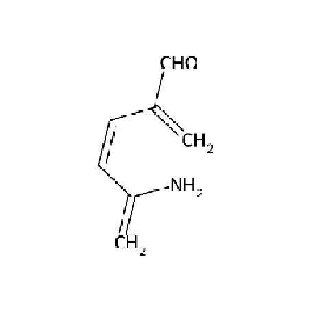 C=C(N)/C=C\C(=C)C=O